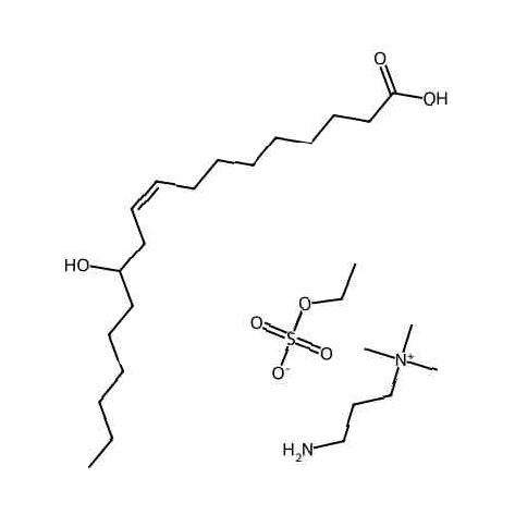 CCCCCCC(O)C/C=C\CCCCCCCC(=O)O.CCOS(=O)(=O)[O-].C[N+](C)(C)CCCN